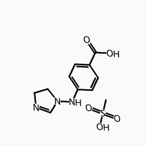 CS(=O)(=O)O.O=C(O)c1ccc(NN2C=NCC2)cc1